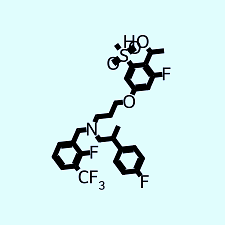 CC(O)c1c(F)cc(OCCCN(Cc2cccc(C(F)(F)F)c2F)CC(C)c2ccc(F)cc2)cc1S(C)(=O)=O